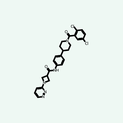 O=C(Nc1ccc(C2CCN(C(=O)c3cc(Cl)ccc3Cl)CC2)cc1)C1CN(c2cccnn2)C1